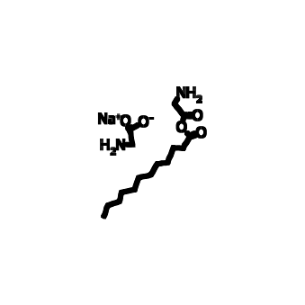 CCCCCCCCCCCC(=O)OC(=O)CN.NCC(=O)[O-].[Na+]